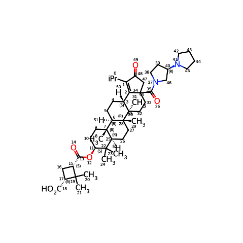 CC(C)C1=C2[C@H]3CC[C@@H]4[C@@]5(C)CC[C@H](OC(=O)[C@H]6C[C@@H](C(=O)O)C6(C)C)C(C)(C)[C@@H]5CC[C@@]4(C)[C@]3(C)CC[C@@]2(C(=O)N2CC[C@@H](N3CCCC3)C2)CC1=O